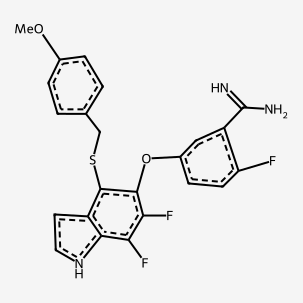 COc1ccc(CSc2c(Oc3ccc(F)c(C(=N)N)c3)c(F)c(F)c3[nH]ccc23)cc1